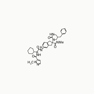 CNC(=O)C1(N2CC(Cc3ccccc3)CNC2=O)Cc2ccc(NC(=O)[C@@H](NC(=O)c3ccnn3C)C3CCCCC3)cc2C1